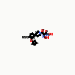 COc1ccc(C2CCN(C(=O)C(=NO)C(=O)NO)CC2)cc1OC1CCCC1